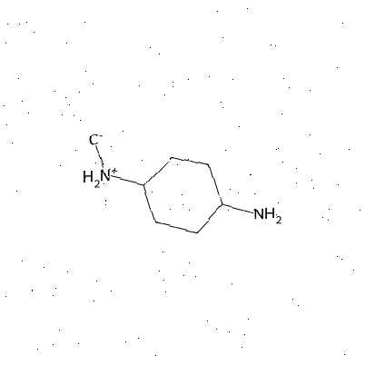 [CH2-][NH2+]C1CCC(N)CC1